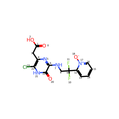 O=C(O)Cc1nc(NCC(F)(F)c2cccc[n+]2[O-])c(=O)[nH]c1Cl